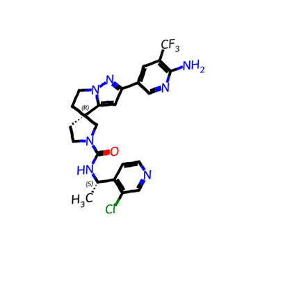 C[C@H](NC(=O)N1CC[C@@]2(CCn3nc(-c4cnc(N)c(C(F)(F)F)c4)cc32)C1)c1ccncc1Cl